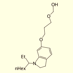 CCCCCCC(CC)N1CCc2ccc(OCCCOCO)cc21